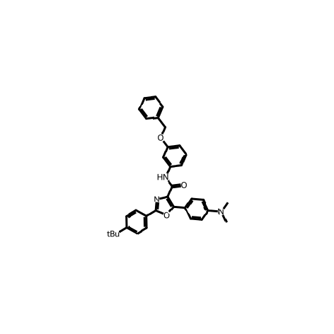 CN(C)c1ccc(-c2oc(-c3ccc(C(C)(C)C)cc3)nc2C(=O)Nc2cccc(OCc3ccccc3)c2)cc1